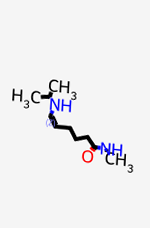 CNC(=O)CCC/C=C\NC(C)C